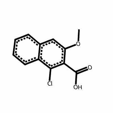 COc1cc2ccccc2c(Cl)c1C(=O)O